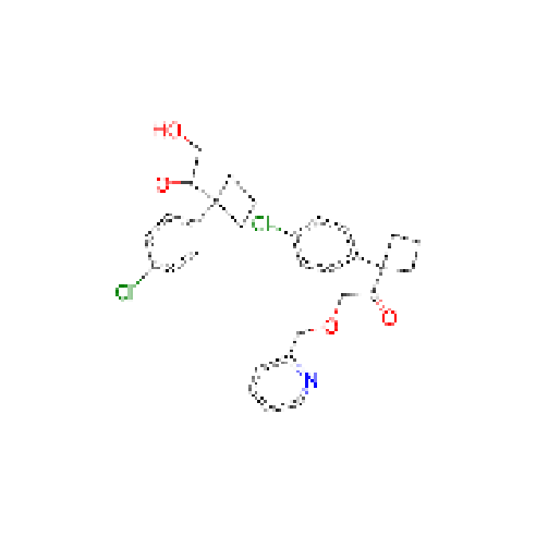 O=C(CO)C1(c2ccc(Cl)cc2)CCC1.O=C(COCc1ccccn1)C1(c2ccc(Cl)cc2)CCC1